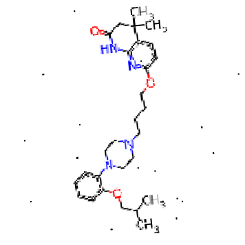 CC(C)COc1ccccc1N1CCN(CCCCOc2ccc3c(n2)NC(=O)CC3(C)C)CC1